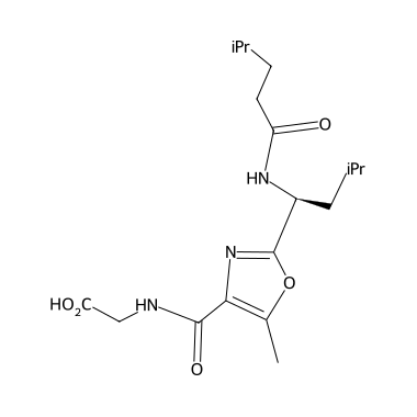 Cc1oc([C@H](CC(C)C)NC(=O)CCC(C)C)nc1C(=O)NCC(=O)O